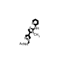 CC(=O)NCn1cc(C2=CSC(Nc3ccccn3)N2C)cn1